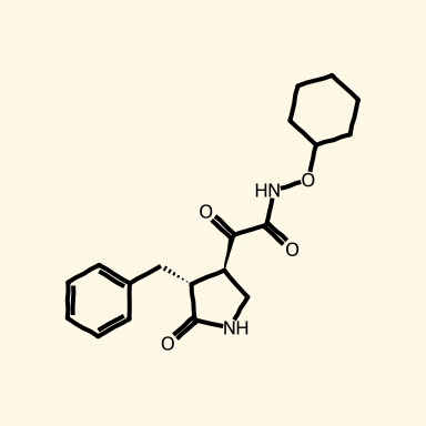 O=C(NOC1CCCCC1)C(=O)[C@H]1CNC(=O)[C@@H]1Cc1ccccc1